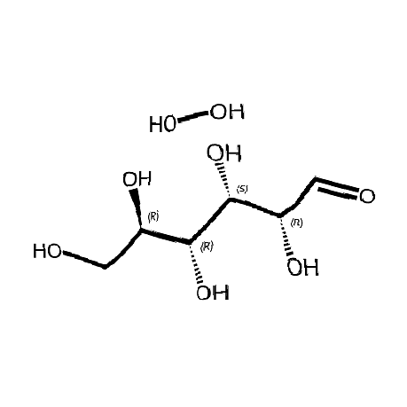 O=C[C@H](O)[C@@H](O)[C@H](O)[C@H](O)CO.OO